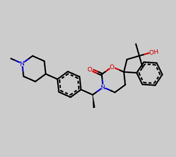 C[C@@H](c1ccc(C2CCN(C)CC2)cc1)N1CCC(CC(C)(C)O)(c2ccccc2)OC1=O